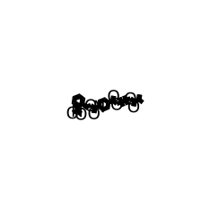 C=C(C)C(=O)OC(C)(C)C(C)(C)OC(=O)C1CCN(C(=O)OCc2ccccc2[N+](=O)[O-])CC1